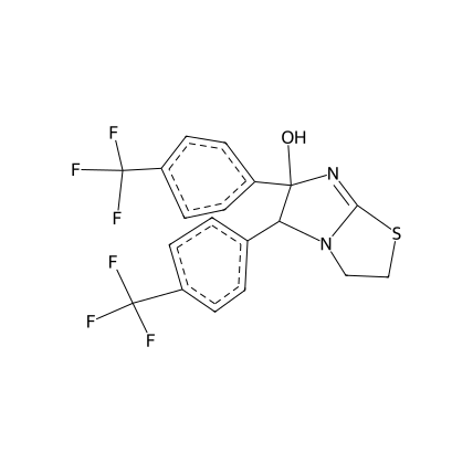 OC1(c2ccc(C(F)(F)F)cc2)N=C2SCCN2C1c1ccc(C(F)(F)F)cc1